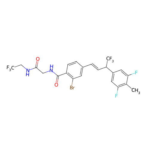 Cc1c(F)cc(C(/C=C/c2ccc(C(=O)NCC(=O)NCC(F)(F)F)c(Br)c2)C(F)(F)F)cc1F